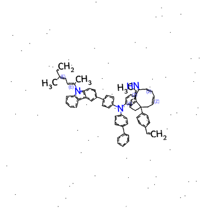 C=C/C(C)=C/C=C(\C)n1c2ccccc2c2cc(-c3ccc(N(c4ccc(-c5ccccc5)cc4)c4ccc5c(c4)C(C/C=C\C=C/C)(c4ccc(C=C)cc4)C/C=C\C=C/C5=N)cc3)ccc21